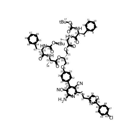 C[C@H](NC(=O)[C@H](Cc1ccccc1)NC(=O)OC(C)(C)C)C(=O)OC[C@H](COc1ccc(-c2c(C#N)c(N)nc(SCc3coc(-c4ccc(Cl)cc4)n3)c2C#N)cc1)OC(=O)[C@H](C)NC(=O)[C@H](Cc1ccccc1)NC(=O)OC(C)(C)C